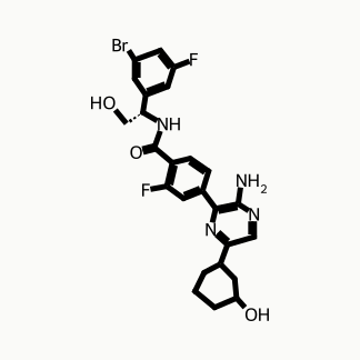 Nc1ncc(C2CCCC(O)C2)nc1-c1ccc(C(=O)N[C@H](CO)c2cc(F)cc(Br)c2)c(F)c1